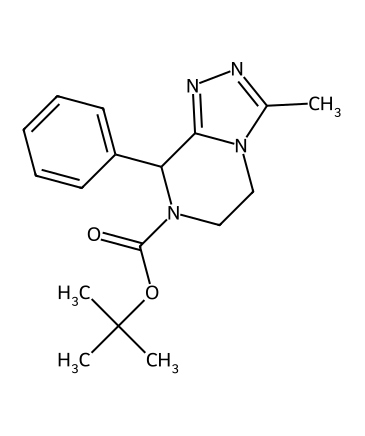 Cc1nnc2n1CCN(C(=O)OC(C)(C)C)C2c1ccccc1